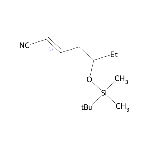 CCC(C/C=C/C#N)O[Si](C)(C)C(C)(C)C